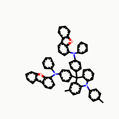 Cc1ccc(N2c3ccccc3C(c3ccc(N(c4ccccc4)c4cccc5c4oc4ccccc45)cc3)(c3ccc(N(c4ccccc4)c4cccc5c4oc4ccccc45)cc3)c3cc(C)ccc32)cc1